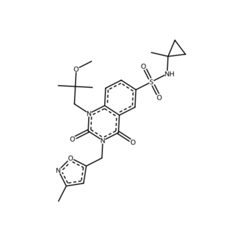 COC(C)(C)Cn1c(=O)n(Cc2cc(C)no2)c(=O)c2cc(S(=O)(=O)NC3(C)CC3)ccc21